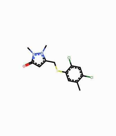 Cc1cc(SCc2cc(=O)n(C)n2C)c(Cl)cc1Cl